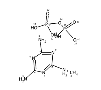 C.Nc1nc(N)nc(N)n1.O=P(O)(O)OP(=O)(O)O